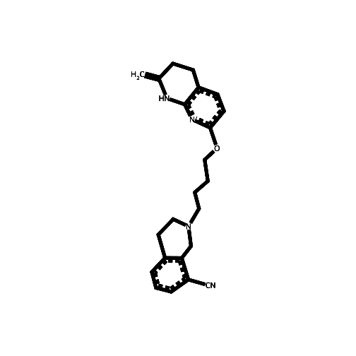 C=C1CCc2ccc(OCCCCN3CCc4cccc(C#N)c4C3)nc2N1